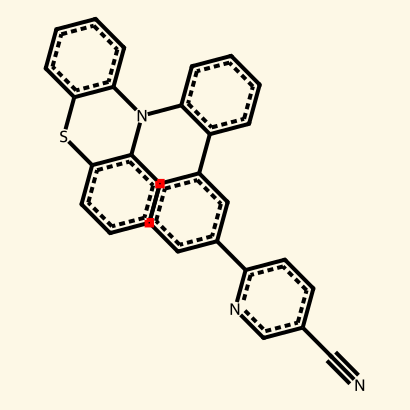 N#Cc1ccc(-c2cccc(-c3ccccc3N3c4ccccc4Sc4ccccc43)c2)nc1